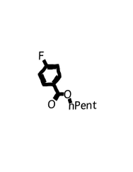 CCCCCOC(=O)c1ccc(F)cc1